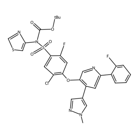 Cn1cc(-c2cc(-c3ccccc3F)ncc2Oc2cc(F)c(S(=O)(=O)N(C(=O)OC(C)(C)C)c3cscn3)cc2Cl)cn1